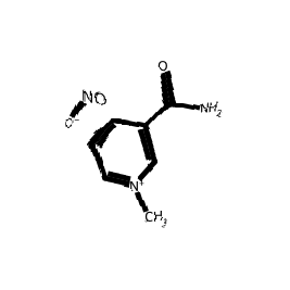 C[n+]1cccc(C(N)=O)c1.O=N[O-]